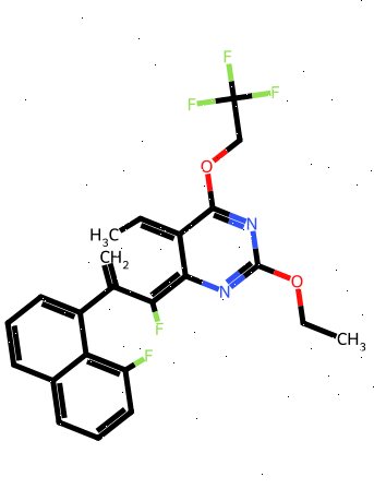 C=C(/C(F)=c1/nc(OCC)nc(OCC(F)(F)F)/c1=C/C)c1cccc2cccc(F)c12